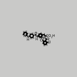 O=C(N[C@@H](Cc1ccc(NC(=O)[C@H]2CC[C@H](Nc3ccccn3)CC2)cc1)C(=O)O)c1c(Cl)cccc1Cl